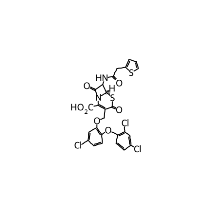 O=C(Cc1cccs1)NC1C(=O)N2C(C(=O)O)=C(COc3cc(Cl)ccc3Oc3ccc(Cl)cc3Cl)C(=O)S[C@@H]12